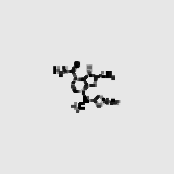 CC(=O)N1CC(N(C)c2ccc(C(N)=O)c3[nH]c(C)cc23)C1